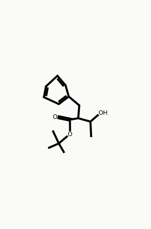 CC(O)C(Cc1ccccc1)C(=O)OC(C)(C)C